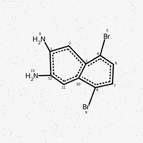 Nc1cc2c(Br)ccc(Br)c2cc1N